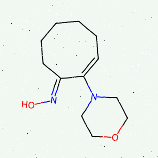 O/N=C1CCCCC/C=C\1N1CCOCC1